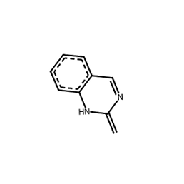 C=C1N=Cc2ccccc2N1